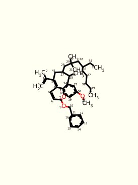 C=C(C)C1=C(/C=C\C(=O)OCc2ccccc2)c2ccc(OC)cc2C(C)C(CC(C)(C)CC(CC)CCCCC)C1